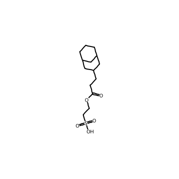 O=C(CCC1CC2CCCC(C2)C1)OCCS(=O)(=O)O